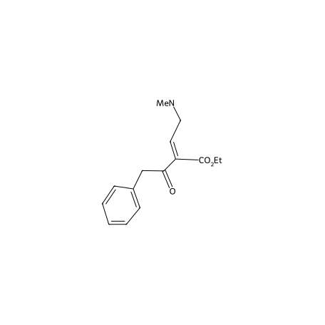 CCOC(=O)C(=CCNC)C(=O)Cc1ccccc1